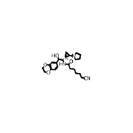 N#CCCCCCC(=O)NC(C(O)c1ccc2c(c1)OCCO2)[C@@H]1CC1N1CCCC1